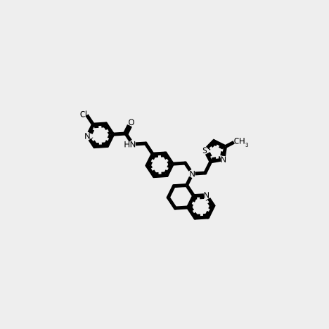 Cc1csc(CN(Cc2cccc(CNC(=O)c3ccnc(Cl)c3)c2)C2CCCc3cccnc32)n1